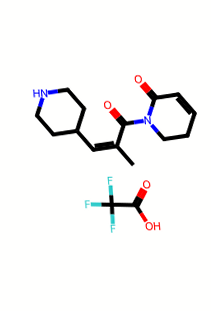 C/C(=C/C1CCNCC1)C(=O)N1CCC=CC1=O.O=C(O)C(F)(F)F